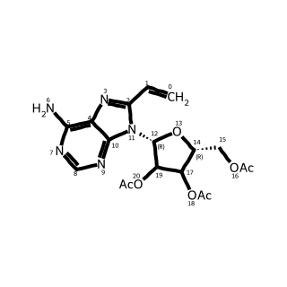 C=Cc1nc2c(N)ncnc2n1[C@@H]1O[C@H](COC(C)=O)C(OC(C)=O)C1OC(C)=O